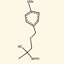 COc1ccc(CSCC(I)(C#N)NC(C)=O)cc1